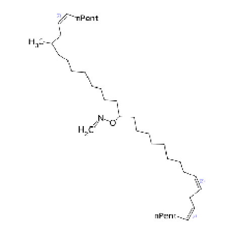 C=NOC(CCCCCCCC/C=C\C/C=C\CCCCC)CCCCCCCCC(C)C/C=C\CCCCC